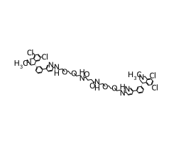 CN1Cc2c(Cl)cc(Cl)cc2[C@H](c2cccc(-c3ccc(NCCOCCOCCNC(=O)CCC(=O)NCCOCCOCCNc4ccc(-c5cccc([C@@H]6CN(C)Cc7c(Cl)cc(Cl)cc76)c5)cn4)nc3)c2)C1